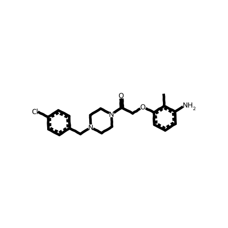 Cc1c(N)cccc1OCC(=O)N1CCN(Cc2ccc(Cl)cc2)CC1